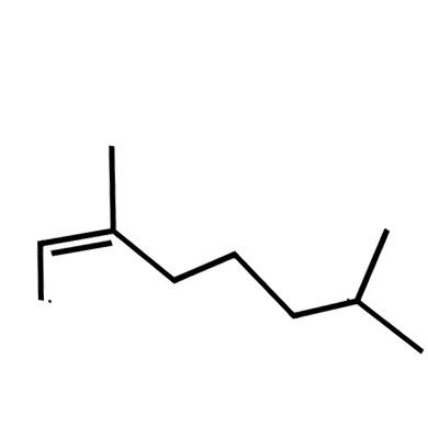 [CH2]C=C(C)CCC[C](C)C